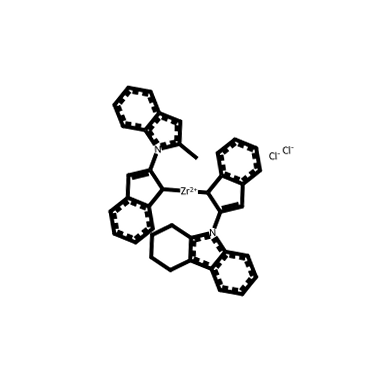 Cc1cc2ccccc2n1C1=Cc2ccccc2[CH]1[Zr+2][CH]1C(n2c3c(c4ccccc42)CCCC3)=Cc2ccccc21.[Cl-].[Cl-]